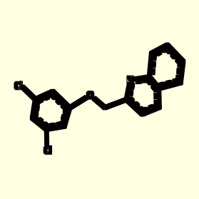 Clc1cc(Cl)cc(OCc2ccc3ccccc3n2)c1